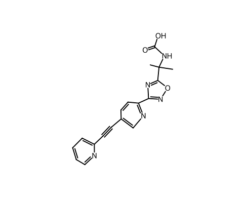 CC(C)(NC(=O)O)c1nc(-c2ccc(C#Cc3ccccn3)cn2)no1